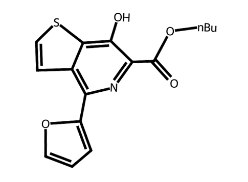 CCCCOC(=O)c1nc(-c2ccco2)c2ccsc2c1O